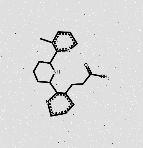 Cc1cccnc1C1CCCC(c2ncccc2CCC(N)=O)N1